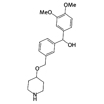 COc1ccc(C(O)c2cccc(COC3CCNCC3)c2)cc1OC